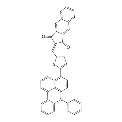 O=C1C(=Cc2ccc(-c3ccc4c5c(cccc35)-c3ccccc3N4c3ccccc3)s2)C(=O)c2cc3ccccc3cc21